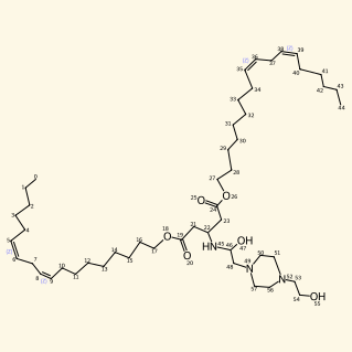 CCCCC/C=C\C/C=C\CCCCCCCCOC(=O)CC(CC(=O)OCCCCCCCC/C=C\C/C=C\CCCCC)NC(O)CN1CCN(CCO)CC1